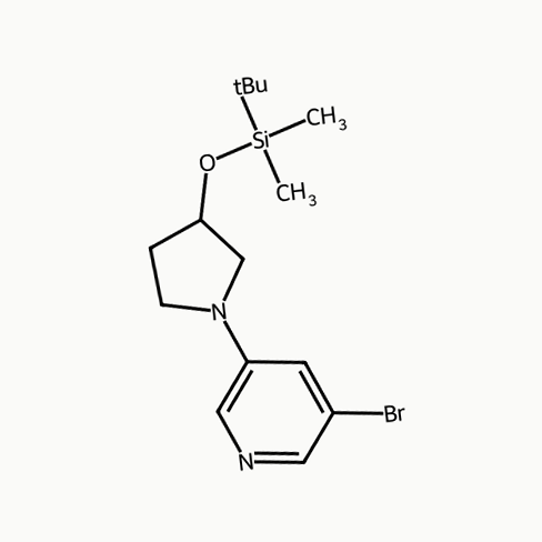 CC(C)(C)[Si](C)(C)OC1CCN(c2cncc(Br)c2)C1